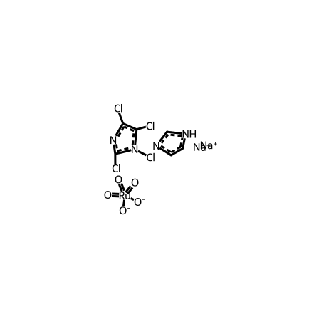 Clc1nc(Cl)n(Cl)c1Cl.[Na+].[Na+].[O]=[Ru](=[O])(=[O])([O-])[O-].c1c[nH]cn1